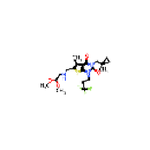 COC(CNCc1sc2c(c1C)c(=O)n(CC1(C)CC1)c(=O)n2CCC(F)(F)F)OC